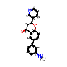 [C-]#[N+]c1cccc(-c2ccc3c(c2)C(=O)CC(c2cccnc2)O3)c1